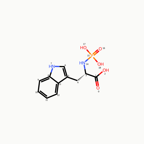 O=C(O)[C@H](Cc1c[nH]c2ccccc12)NP(=O)(O)O